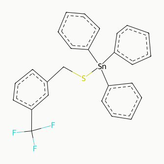 FC(F)(F)c1cccc(C[S][Sn]([c]2ccccc2)([c]2ccccc2)[c]2ccccc2)c1